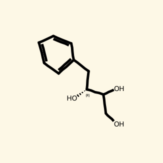 OCC(O)[C@H](O)Cc1ccccc1